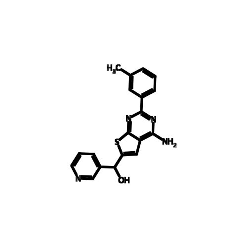 Cc1cccc(-c2nc(N)c3cc(C(O)c4cccnc4)sc3n2)c1